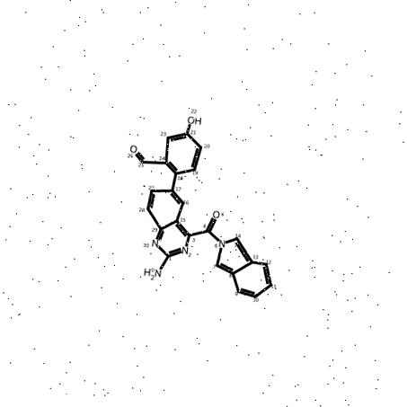 Nc1nc(C(=O)n2cc3ccccc3c2)c2cc(-c3ccc(O)cc3C=O)ccc2n1